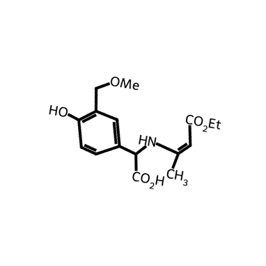 CCOC(=O)/C=C(/C)NC(C(=O)O)c1ccc(O)c(COC)c1